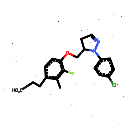 Cc1c(CCC(=O)O)ccc(OCC2CC=NN2c2ccc(Cl)cc2)c1F